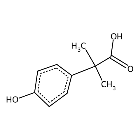 CC(C)(C(=O)O)c1ccc(O)cc1